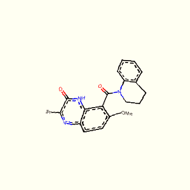 COc1ccc2nc(C(C)C)c(=O)[nH]c2c1C(=O)N1CCCc2ccccc21